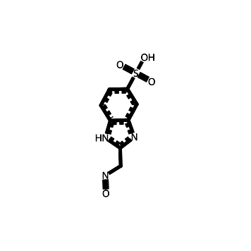 O=NCc1nc2cc(S(=O)(=O)O)ccc2[nH]1